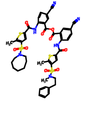 Cc1sc(C(=O)Nc2ccc(C#N)cc2C(=O)OC(=O)c2cc(C#N)ccc2NC(=O)c2cc(S(=O)(=O)N3CCCCCCC3)c(C)s2)cc1S(=O)(=O)N(C)CCc1ccccc1